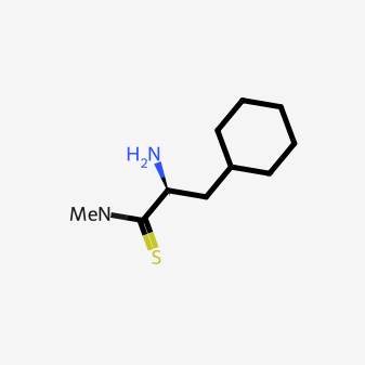 CNC(=S)[C@@H](N)CC1CCCCC1